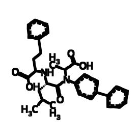 CC(C)C[C@H](NC(CCc1ccccc1)C(=O)O)C(=O)N(c1ccc(-c2ccccc2)cc1)[C@@H](C)C(=O)O